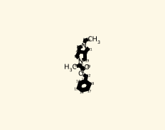 CCN1CC2CN(C(C)C(=O)OCc3ccccc3)CC2C1